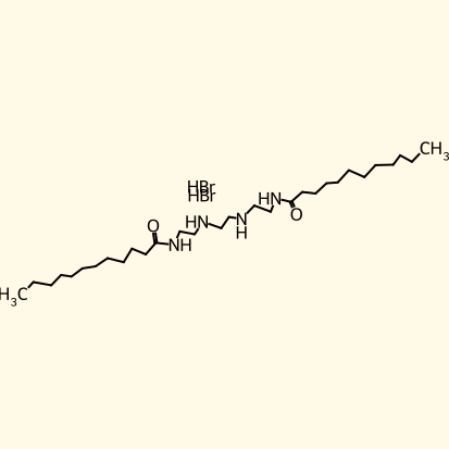 Br.Br.CCCCCCCCCCCC(=O)NCCNCCNCCNC(=O)CCCCCCCCCCC